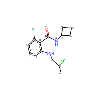 CC(Cl)CNc1cccc(F)c1C(=O)NC1CCC1